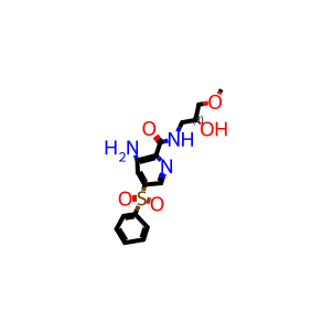 COC[C@H](O)CNC(=O)c1ncc(S(=O)(=O)c2ccccc2)cc1N